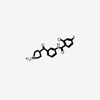 CN1CCC(C(=O)c2cccc(NC(=O)c3ccc(F)cc3Cl)c2)CC1